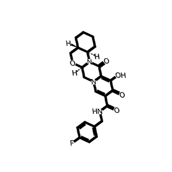 O=C(NCc1ccc(F)cc1)c1cn2c(c(O)c1=O)C(=O)N1[C@@H]3CCCC[C@H]3CO[C@@H]1C2